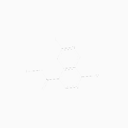 C=C(OCC)c1cnc(OC)c2cnc(Cl)cc12